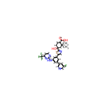 CC1(C)C[C@](O)(c2ncc(-c3cc(Nc4nccc(C(F)(F)F)n4)cc(-c4cncc(F)c4)c3)s2)CC[C@H]1C(=O)O